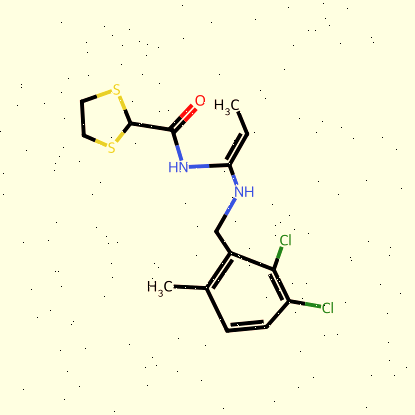 CC=C(NCc1c(C)ccc(Cl)c1Cl)NC(=O)C1SCCS1